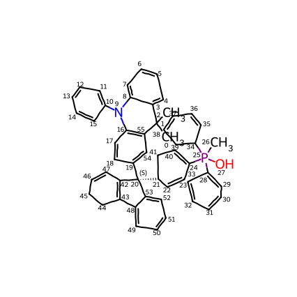 CC1(C)c2ccccc2N(c2ccccc2)c2ccc([C@]3(C4C=CC(P(C)(O)(c5ccccc5)C5C=CC=CC5)=CC4)C4=C(CCC=C4)c4ccccc43)cc21